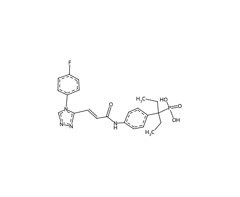 CCC(CC)(c1ccc(NC(=O)C=Cc2nncn2-c2ccc(F)cc2)cc1)P(=O)(O)O